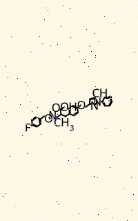 C/C(=N\OCc1ccc(F)cc1)C(Cc1ccc(OCc2cc(C)n(-c3ccccc3)n2)cc1)C(=O)O